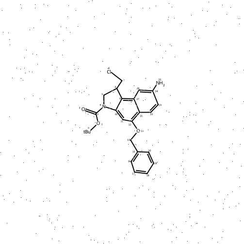 CC(C)(C)OC(=O)N1CC(CCl)c2c1cc(OCc1ccccc1)c1ccc(N)cc21